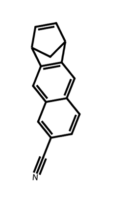 N#Cc1ccc2cc3c(cc2c1)C1C=CC3C1